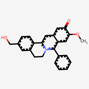 COc1cc2c(-c3ccccc3)n3c(cc-2cc1=O)-c1ccc(CO)cc1CC3